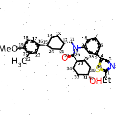 CCc1ncc(-c2cccc(N(C[C@H]3CC[C@H](c4ccc(OC)c(C)c4)CC3)C(=O)[C@H]3CC[C@H](O)CC3)c2)s1